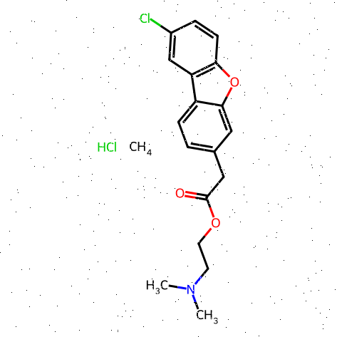 C.CN(C)CCOC(=O)Cc1ccc2c(c1)oc1ccc(Cl)cc12.Cl